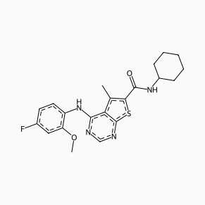 COc1cc(F)ccc1Nc1ncnc2sc(C(=O)NC3CCCCC3)c(C)c12